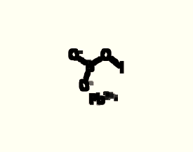 [O-]B([O-])OI.[Pb+2]